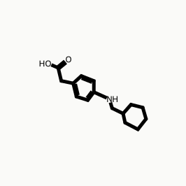 O=C(O)Cc1ccc(NCC2CCCCC2)cc1